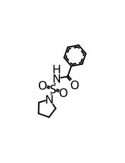 O=C(NS(=O)(=O)N1CCCC1)c1ccccc1